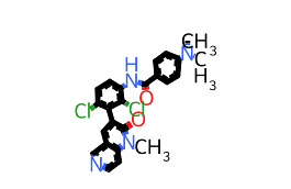 CN(C)c1ccc(C(=O)Nc2ccc(Cl)c(-c3cc4cnccc4n(C)c3=O)c2Cl)cc1